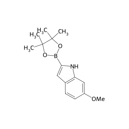 COc1ccc2cc(B3OC(C)(C)C(C)(C)O3)[nH]c2c1